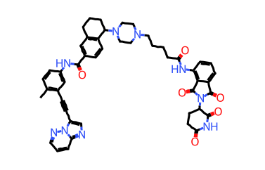 Cc1ccc(NC(=O)c2ccc3c(c2)CCCC3N2CCN(CCCCC(=O)Nc3cccc4c3C(=O)N(C3CCC(=O)NC3=O)C4=O)CC2)cc1C#Cc1cnc2cccnn12